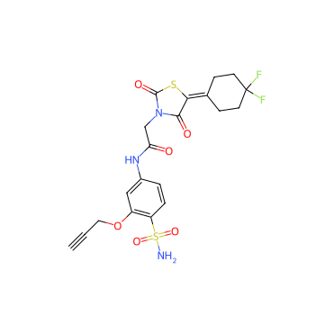 C#CCOc1cc(NC(=O)CN2C(=O)SC(=C3CCC(F)(F)CC3)C2=O)ccc1S(N)(=O)=O